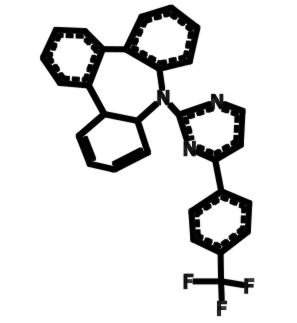 FC(F)(F)c1ccc(-c2ccnc(N3c4ccccc4-c4ccccc4C4C=CC=CC43)n2)cc1